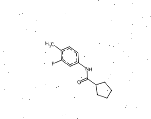 Cc1ccc(NC(=O)C2CCCC2)cc1F